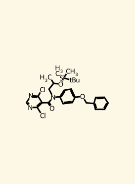 CC(CN(C(=O)c1c(Cl)ncnc1Cl)c1ccc(OCc2ccccc2)cc1)O[Si](C)(C)C(C)(C)C